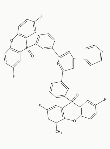 CC1CC(F)=CC2=C1Oc1ccc(F)cc1P2(=O)c1cccc(-c2cc(-c3ccccc3)cc(-c3cccc(P4(=O)c5cc(F)ccc5Oc5ccc(F)cc54)c3)n2)c1